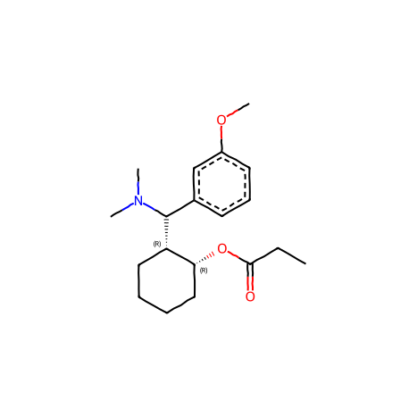 CCC(=O)O[C@@H]1CCCC[C@@H]1C(c1cccc(OC)c1)N(C)C